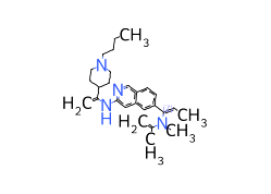 C=C(Nc1cc2cc(/C(=C/C)N(C)C(=C)C)ccc2cn1)C1CCN(CCCC)CC1